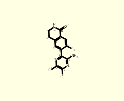 Nc1nc(F)c(Cl)nc1-c1cc2c(cc1F)C(=O)NCC2